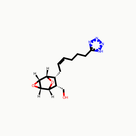 OC[C@H]1[C@@H](C/C=C\CCCc2nnn[nH]2)[C@@H]2O[C@H]1[C@@H]1O[C@@H]12